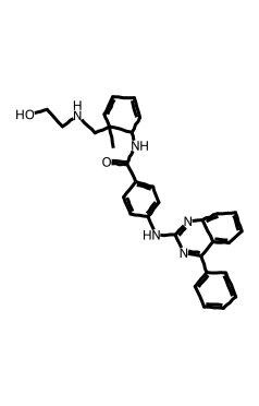 CC1(CNCCO)C=CC=CC1NC(=O)c1ccc(Nc2nc(-c3ccccc3)c3ccccc3n2)cc1